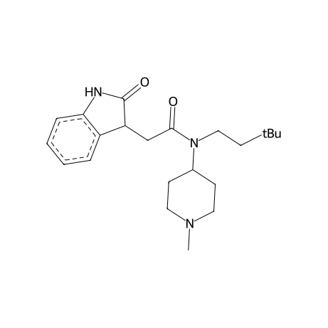 CN1CCC(N(CCC(C)(C)C)C(=O)CC2C(=O)Nc3ccccc32)CC1